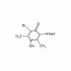 CCCCCCCc1c(C)n(O)c(C)c(Br)c1=O